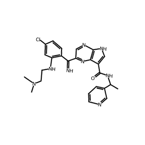 CC(NC(=O)c1c[nH]c2ncc(C(=N)c3ccc(Cl)cc3NCCN(C)C)nc12)c1cccnc1